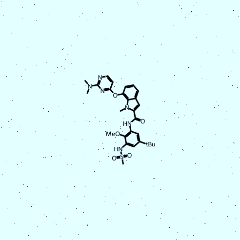 COc1c(NC(=O)c2cc3cccc(Oc4ccnc(N(C)C)n4)c3n2C)cc(C(C)(C)C)cc1NS(C)(=O)=O